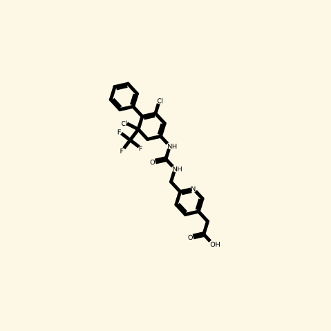 O=C(O)Cc1ccc(CNC(=O)NC2=CC(Cl)=C(c3ccccc3)C(Cl)(C(F)(F)F)C2)nc1